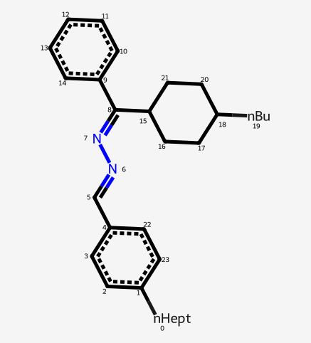 CCCCCCCc1ccc(C=NN=C(c2ccccc2)C2CCC(CCCC)CC2)cc1